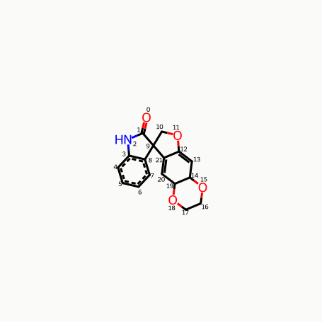 O=C1Nc2ccccc2C12COC1=CC3OCCOC3C=C12